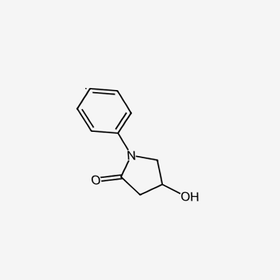 O=C1CC(O)CN1c1cc[c]cc1